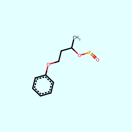 CC(CCOc1ccccc1)OP=O